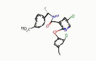 Cc1ccc(Oc2ncc(Cl)cc2C(=O)N[C@@H](C)c2ccc(C(=O)O)cc2)c(Cl)c1